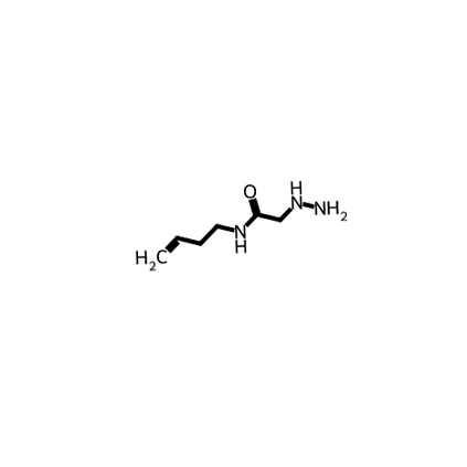 C=CCCNC(=O)CNN